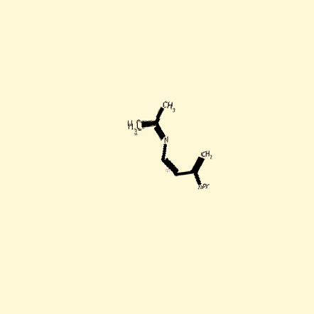 C=C(/C=C\N=C(C)C)CCC